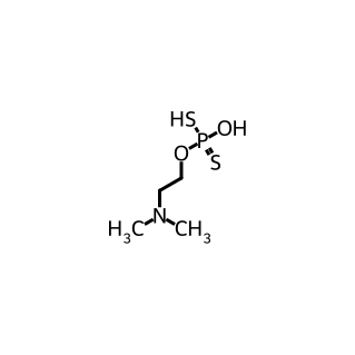 CN(C)CCOP(O)(=S)S